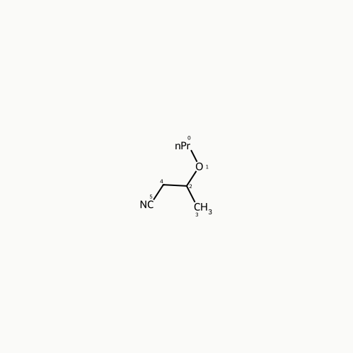 CCCOC(C)CC#N